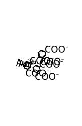 O=C([O-])c1cccc(C(=O)[O-])c1.O=C([O-])c1cccc(C(=O)[O-])c1.O=C([O-])c1cccc(C(=O)[O-])c1.[Au+3].[Au+3]